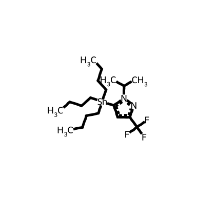 CCC[CH2][Sn]([CH2]CCC)([CH2]CCC)[c]1cc(C(F)(F)F)nn1C(C)C